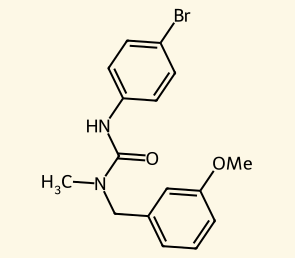 COc1cccc(CN(C)C(=O)Nc2ccc(Br)cc2)c1